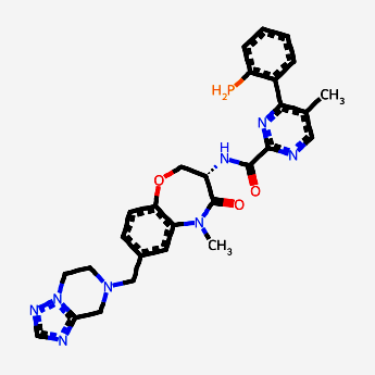 Cc1cnc(C(=O)N[C@H]2COc3ccc(CN4CCn5ncnc5C4)cc3N(C)C2=O)nc1-c1ccccc1P